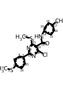 CSc1ccc(-c2nc(Cl)c(C(=O)Nc3ccc(C)cc3)c(SC)n2)cc1